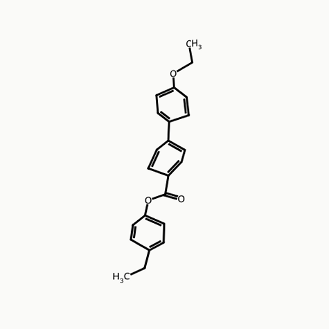 CCOc1ccc(-c2ccc(C(=O)Oc3ccc(CC)cc3)cc2)cc1